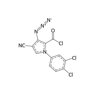 N#Cc1cn(-c2ccc(Cl)c(Cl)c2)c(C(=O)Cl)c1N=[N+]=[N-]